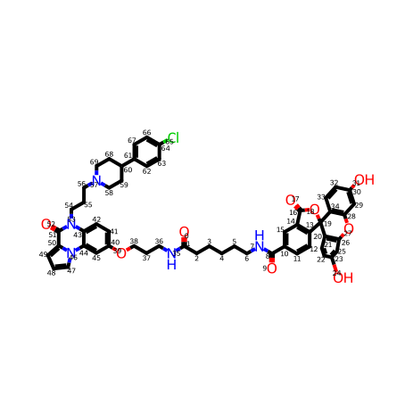 O=C(CCCCCNC(=O)c1ccc2c(c1)C(=O)OC21c2ccc(O)cc2Oc2cc(O)ccc21)NCCCOc1ccc2c(c1)n1cccc1c(=O)n2CCCN1CCC(c2ccc(Cl)cc2)CC1